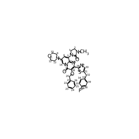 CN1CCN(c2cc(N3CCOCC3)cn3c(=O)c(OCc4ccccc4)c(-c4ncc(Cc5ccc(F)cc5)s4)nc23)C1=O